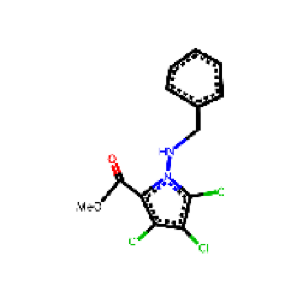 COC(=O)c1c(Cl)c(Cl)c(Cl)n1NCc1ccccc1